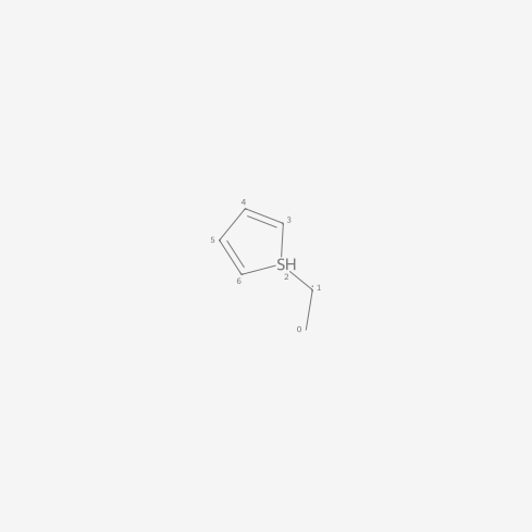 C[CH][SH]1C=CC=C1